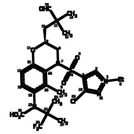 CCn1cc(S(=O)(=O)N2C[C@@H](CC(C)(C)C=O)Oc3ccc(N(C(=O)O)C(C)(C)C(F)(F)F)c(C)c32)c(Cl)n1